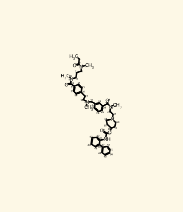 CCC(=O)N(C)CCCN(C)C(=O)c1ccc(CCN(C)Cc2cccc(C(=O)N(C)CCN3CCC(OC(=O)Nc4ccccc4-c4ccccc4)CC3)c2)cc1